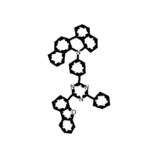 c1ccc(-c2nc(-c3ccc(N4c5c(ccc6ccccc56)-c5cccc6cccc4c56)cc3)nc(-c3cccc4c3oc3ccccc34)n2)cc1